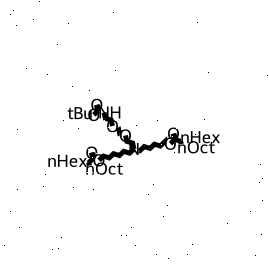 CCCCCCCCC(CCCCCC)C(=O)OCCCCCCN(CCCCCCOC(=O)C(CCCCCC)CCCCCCCC)CCOCCOCCNC(=O)OC(C)(C)C